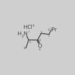 CC(C)CCC(=O)C(C)N.Cl